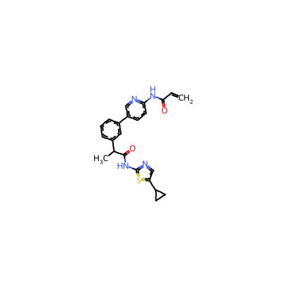 C=CC(=O)Nc1ccc(-c2cccc(C(C)C(=O)Nc3ncc(C4CC4)s3)c2)cn1